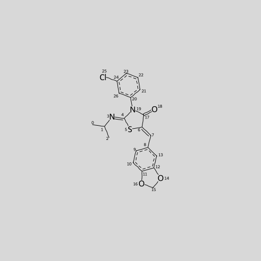 CC(C)/N=C1\S/C(=C\c2ccc3c(c2)OCO3)C(=O)N1c1cccc(Cl)c1